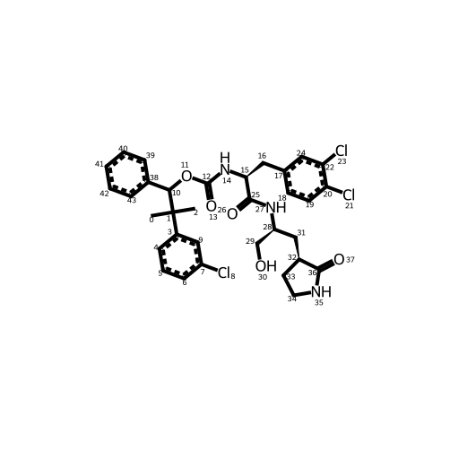 CC(C)(c1cccc(Cl)c1)C(OC(=O)N[C@@H](Cc1ccc(Cl)c(Cl)c1)C(=O)N[C@H](CO)C[C@@H]1CCNC1=O)c1ccccc1